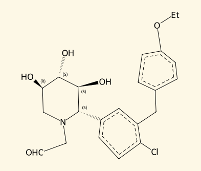 CCOc1ccc(Cc2cc([C@H]3[C@H](O)[C@@H](O)[C@H](O)CN3CC=O)ccc2Cl)cc1